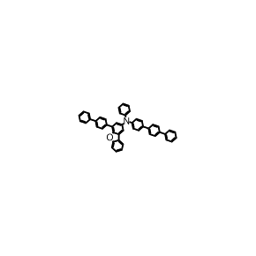 c1ccc(-c2ccc(-c3ccc(N(c4ccccc4)c4cc(-c5ccc(-c6ccccc6)cc5)c5oc6ccccc6c5c4)cc3)cc2)cc1